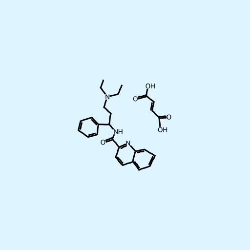 CCN(CC)CCC(NC(=O)c1ccc2ccccc2n1)c1ccccc1.O=C(O)/C=C/C(=O)O